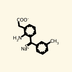 Cc1cccc(C(=S)c2cccc(CC(=O)[O-])c2N)c1.[Na+]